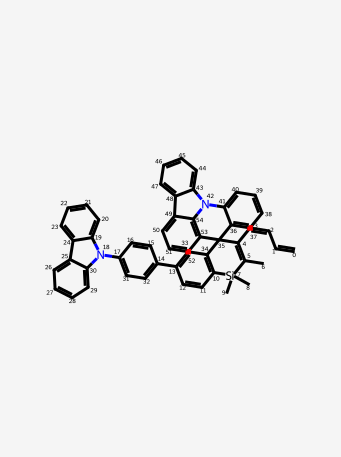 C=C/C=C\C1=C(C)[Si](C)(C)c2ccc(-c3ccc(-n4c5ccccc5c5ccccc54)cc3)cc2C12c1ccccc1-n1c3ccccc3c3cccc2c31